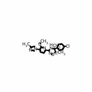 COc1nc(C2=NO[C@@H](C)[C@](C)(c3ccc(Cl)cc3)N2)ccc1-n1cnc(C)c1